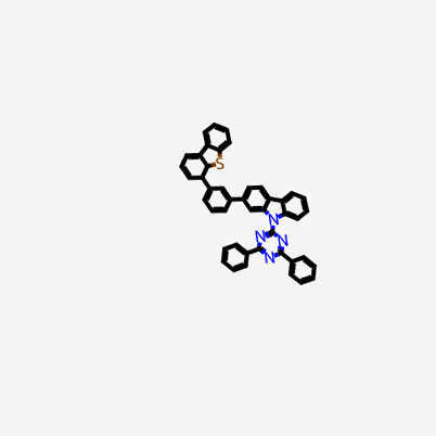 C1=CC(c2cccc(-c3ccc4c5ccccc5n(-c5nc(-c6ccccc6)nc(-c6ccccc6)n5)c4c3)c2)C2Sc3ccccc3C2=C1